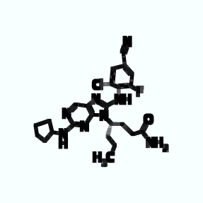 CCC[C@@H](CCC(N)=O)n1c(Nc2c(F)cc(C#N)cc2Cl)nc2cnc(NC3CCCC3)nc21